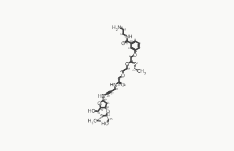 CSSC(COc1cccc(C(=O)NCCN)c1)OCCOCC(=O)NCC#CB[C@H]1C[C@@H](O[C@H](CO)SSC)C(CO)O1